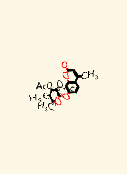 CC(=O)O[C@@H]1[C@H](Oc2ccc3c(C)cc(=O)oc3c2)O[C@@H](C)[C@@H](C)[C@H]1OC(C)=O